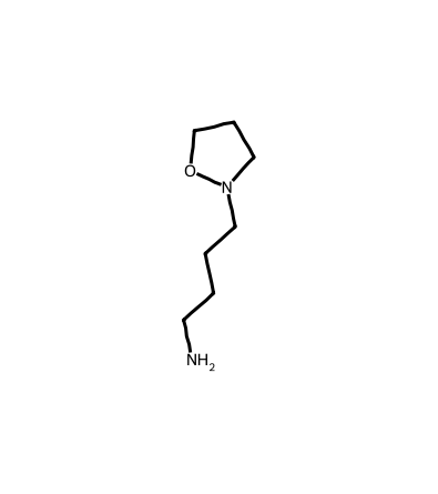 NCCCCN1CCCO1